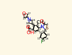 Cc1c(N2C(=O)CSC2c2ccc(F)cc2)ccc(C(=O)O)c1C1CN(C2COC2)C1